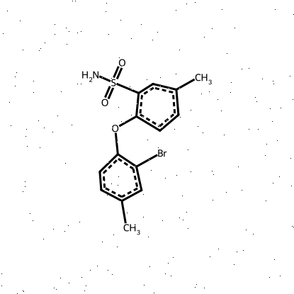 Cc1ccc(Oc2ccc(C)cc2S(N)(=O)=O)c(Br)c1